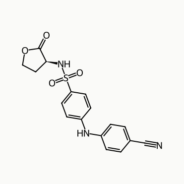 N#Cc1ccc(Nc2ccc(S(=O)(=O)N[C@H]3CCOC3=O)cc2)cc1